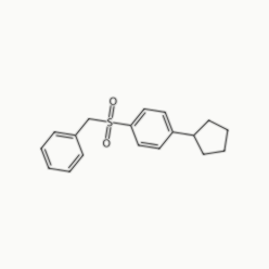 O=S(=O)(Cc1ccccc1)c1ccc(C2CCCC2)cc1